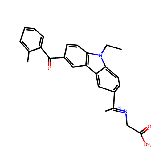 CCn1c2ccc(C(=O)c3ccccc3C)cc2c2cc(/C(C)=N/CC(=O)O)ccc21